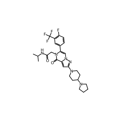 CC(C)NC(=O)Cn1c(-c2ccc(F)c(C(F)(F)F)c2)cn2nc(N3CCC(N4CCCC4)CC3)cc2c1=O